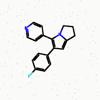 Fc1ccc(-c2cc3n(c2-c2ccncc2)CCC3)cc1